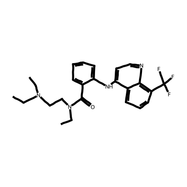 CCN(CC)CCN(CC)C(=O)c1ccccc1Nc1ccnc2c(C(F)(F)F)cccc12